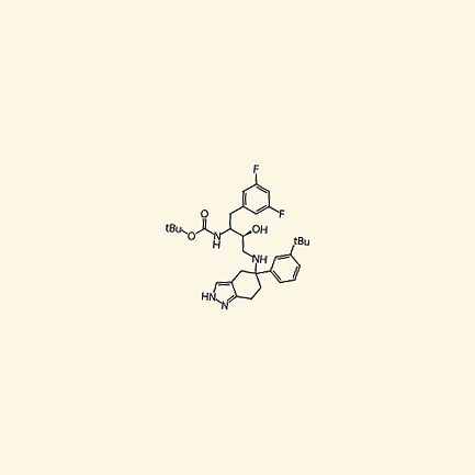 CC(C)(C)OC(=O)NC(Cc1cc(F)cc(F)c1)[C@@H](O)CNC1(c2cccc(C(C)(C)C)c2)CCc2n[nH]cc2C1